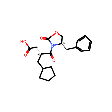 O=C(O)C[C@@H](CC1CCCC1)C(=O)N1C(=O)OC[C@@H]1Cc1ccccc1